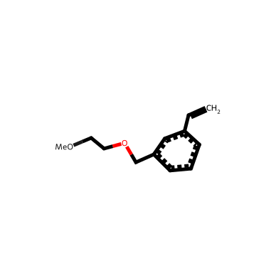 C=Cc1cccc(COCCOC)c1